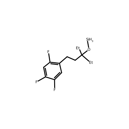 CCC(CC)(CCc1cc(F)c(F)cc1F)O[SiH3]